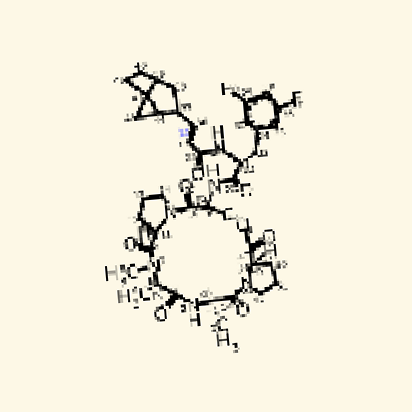 C[C@@H]1NC(=O)[C@H](C)N(C)C(=O)[C@@H]2CCCN2C(=O)[C@@H](NC(=O)[C@H](Cc2cc(F)cc(F)c2)NC(=O)/C=C/C2CC3CCC34CC24)COC(=O)[C@@H]2CCCN2C1=O